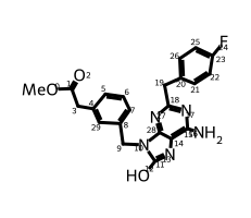 COC(=O)Cc1cccc(Cn2c(O)nc3c(N)nc(Cc4ccc(F)cc4)nc32)c1